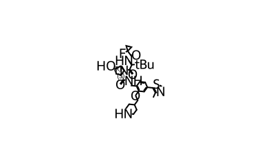 Cc1ncsc1-c1ccc(CNC(=O)[C@@H]2C[C@@H](O)CN2C(=O)C(NC(=O)C2(F)CC2)C(C)(C)C)c(OCC2CCNCC2)c1